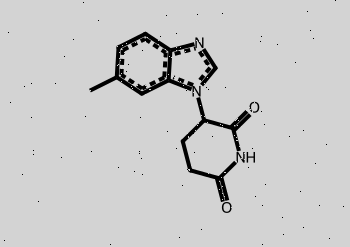 Cc1ccc2ncn(C3CCC(=O)NC3=O)c2c1